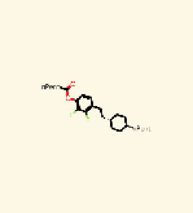 CCCCCC(=O)Oc1ccc(CC[C@H]2CC[C@H](CCCCC)CC2)c(F)c1F